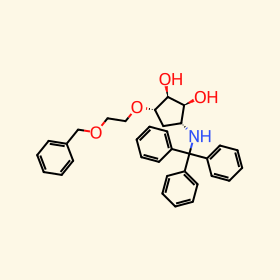 O[C@@H]1[C@H](O)[C@@H](OCCOCc2ccccc2)C[C@H]1NC(c1ccccc1)(c1ccccc1)c1ccccc1